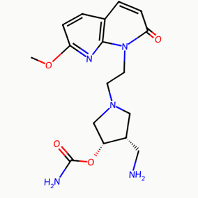 COc1ccc2ccc(=O)n(CCN3C[C@H](CN)[C@H](OC(N)=O)C3)c2n1